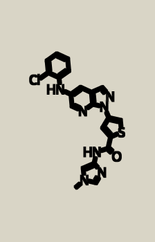 Cn1cnc(NC(=O)c2cc(-n3ncc4cc(Nc5ccccc5Cl)cnc43)cs2)c1